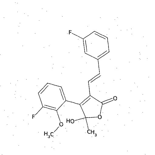 COc1c(F)cccc1C1=C(/C=C/c2cccc(F)c2)C(=O)OC1(C)O